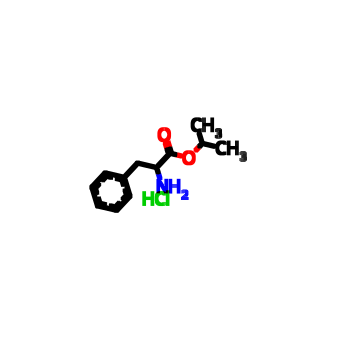 CC(C)OC(=O)C(N)Cc1ccccc1.Cl